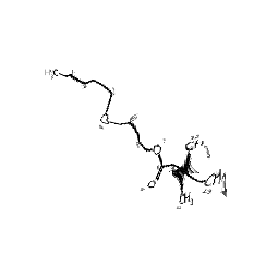 CCCCOCCOC(=O)C(C)(C)C